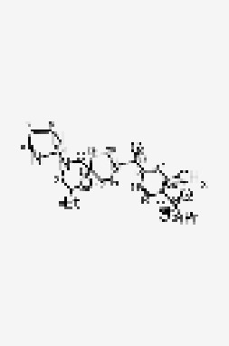 CCC1CN(c2ncccn2)CC2(CCN(C(=O)c3ccc(S(=O)(=O)C(C)C)c(C)c3)CC2)O1